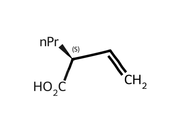 C=C[C@H](CCC)C(=O)O